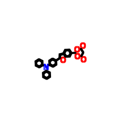 O=C1CC(=O)OC(c2ccc3cc(-c4ccc(N(c5ccccc5)c5ccccc5)cc4)oc3c2)O1